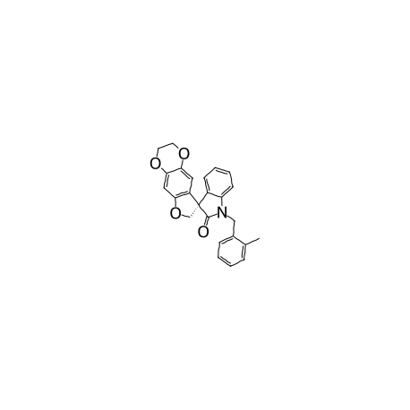 Cc1ccccc1CN1C(=O)[C@]2(COc3cc4c(cc32)OCCO4)c2ccccc21